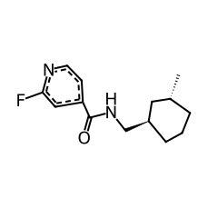 C[C@@H]1CCC[C@@H](CNC(=O)c2ccnc(F)c2)C1